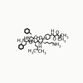 CC(C)CC[C@@H](NC(=O)[C@@H](Cc1ccccc1)NC(=O)[C@H](N)Cc1ccccc1)C(=O)N[C@H](CCCCN)C(=O)N1CCC(NC(=O)C(=O)N(C)C)CC1